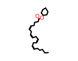 CCCCC/C=C\C/C=C\C/C=C\C/C=C\CCCC(=O)OC1CCCCC1